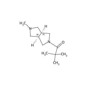 CN1C[C@@H]2CN(C(=O)C(C)(C)C)C[C@@H]2C1